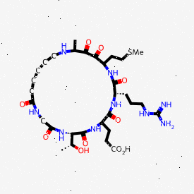 CSCCC1NC(=O)[C@H](CCCNC(=N)N)NC(=O)C(CCC(=O)O)NC(=O)[C@H]([C@@H](C)O)NC(=O)CNC(=O)CCCCCNC(C)C(=O)C1=O